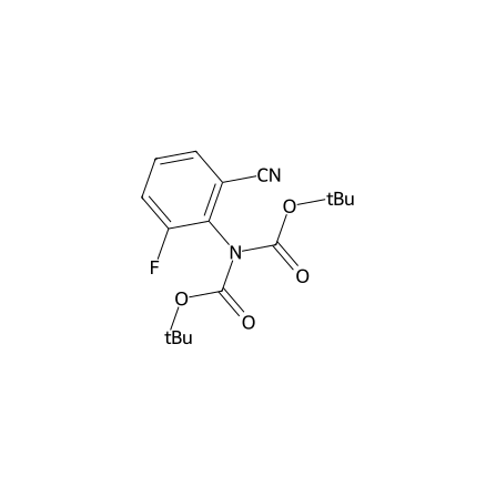 CC(C)(C)OC(=O)N(C(=O)OC(C)(C)C)c1c(F)cccc1C#N